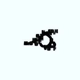 COCC(=O)N[C@H]1CCCN(C)C(=O)c2cc(F)ccc2OC[C@@H]2C[C@H](CN2C(=O)O)NC1=O